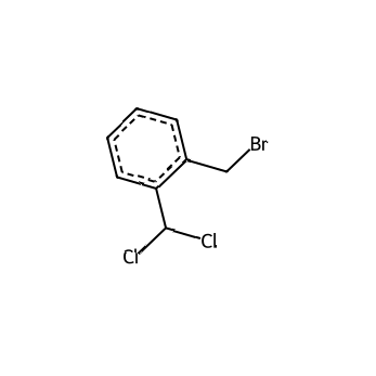 ClC(Cl)c1ccccc1CBr